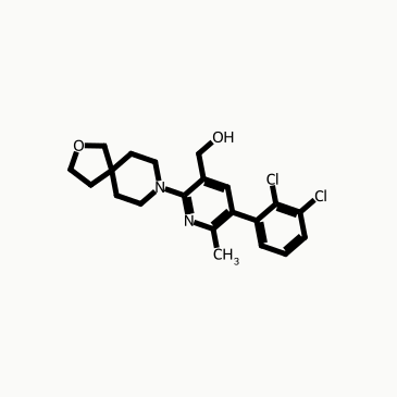 Cc1nc(N2CCC3(CCOC3)CC2)c(CO)cc1-c1cccc(Cl)c1Cl